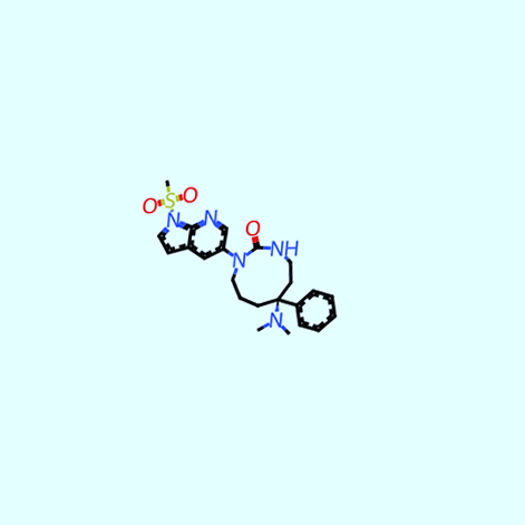 CN(C)[C@@]1(c2ccccc2)CCCN(c2cnc3c(ccn3S(C)(=O)=O)c2)C(=O)NCC1